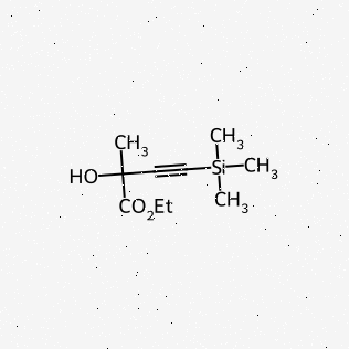 CCOC(=O)C(C)(O)C#C[Si](C)(C)C